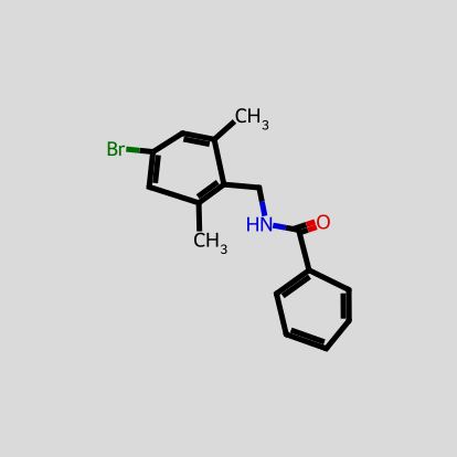 Cc1cc(Br)cc(C)c1CNC(=O)c1ccccc1